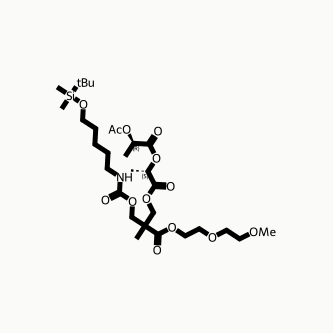 COCCOCCOC(=O)C(C)(COC(=O)NCCCCCO[Si](C)(C)C(C)(C)C)COC(=O)[C@H](C)OC(=O)[C@@H](C)OC(C)=O